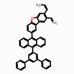 C=Cc1cc2c(cc1/C=C\C)oc1ccc(-c3c4ccccc4c(-c4cc(-c5ccccc5)cc(-c5ccccc5)c4)c4ccccc34)cc12